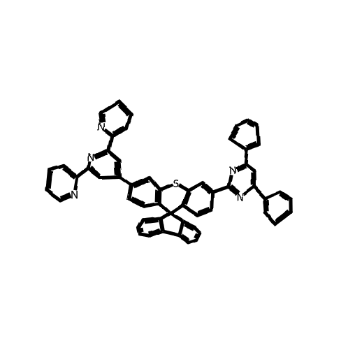 c1ccc(-c2cc(-c3ccccc3)nc(-c3ccc4c(c3)Sc3cc(-c5cc(-c6ccccn6)nc(-c6ccccn6)c5)ccc3C43c4ccccc4-c4ccccc43)n2)cc1